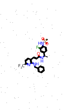 C[C@@H](NC(=O)C=Cc1ccc(C(F)(F)F)nc1NCc1ccccc1)c1ccc(NS(C)(=O)=O)c(F)c1